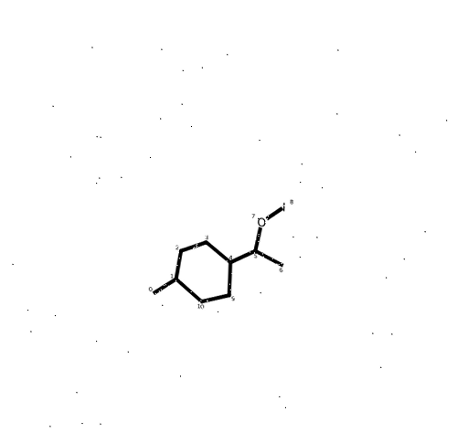 CC1CCC(C(C)OI)CC1